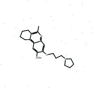 COc1cc2c3c(c(C)nc2cc1OCCCN1CCCC1)CCCC3